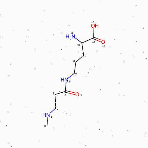 CNCCC(=O)NCCCC(N)C(=O)O